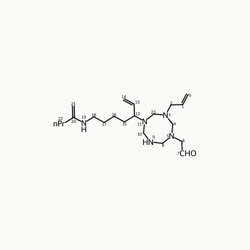 C=CCN1CN(CC=O)CNCN(C(C=C)CCCCNC(=C)CCC)C1